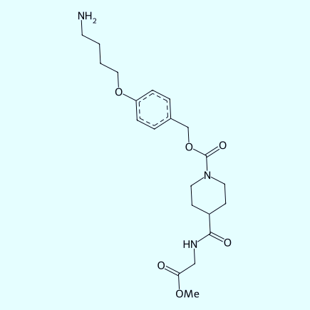 COC(=O)CNC(=O)C1CCN(C(=O)OCc2ccc(OCCCCN)cc2)CC1